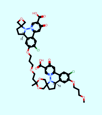 COCCCOc1cc2c(cc1Cl)-c1cc(=O)c(C(=O)O)cn1N1[C@@H]2CCC12COC(C)(CCOCCCOc1cc3c(cc1Cl)-c1cc(=O)c(C(=O)O)cn1N1[C@@H]3CCC13COC3)OC2